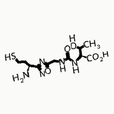 CC(O)[C@H](NC(=O)NCc1nc([C@@H](N)CCS)no1)C(=O)O